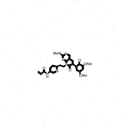 C=CC(=O)Nc1ccc(CCn2c(=O)c(-c3cc(OC)cc(OC)c3Cl)cc3cnc(NC)nc32)nc1